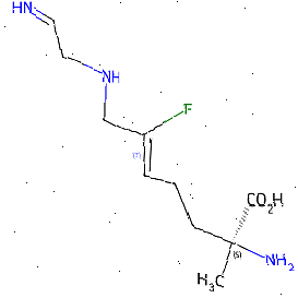 C[C@](N)(CC/C=C(\F)CNCC=N)C(=O)O